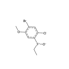 CC[S+]([O-])c1cc(OC)c(Br)cc1Cl